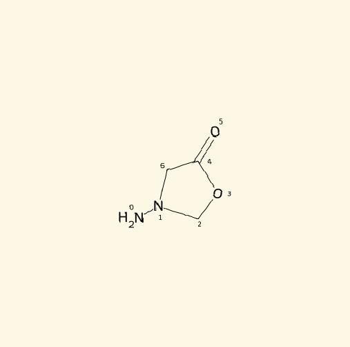 NN1COC(=O)C1